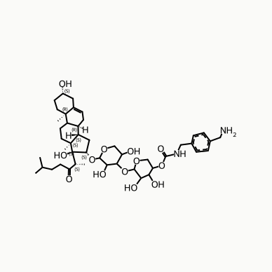 CC(C)CCC(=O)[C@@H](C)[C@@]1(O)[C@@H](OC2OCC(O)C(OC3OCC(OC(=O)NCc4ccc(CN)cc4)C(O)C3O)C2O)C[C@H]2[C@@H]3CC=C4C[C@@H](O)CC[C@]4(C)C3CC[C@@]21C